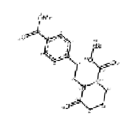 COC(=O)c1ccc(CCN2C(=O)CCCN2C(=O)OC(C)(C)C)cc1